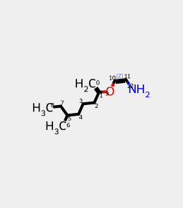 C=C(CCCC(C)CC)O/C=C\N